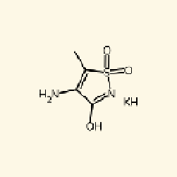 CC1=C(N)C(O)=NS1(=O)=O.[KH]